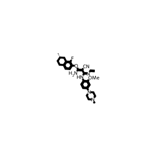 C=C/N=C(Nc1ccc(N2CCN(C)CC2)cc1OC)\C(C#N)=C(/N)Oc1ccc2c(c1F)C[C@@H](C)CC2